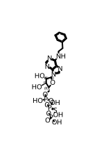 O=P(O)(O)OP(O)(=S)OP(=O)(O)OC[C@H]1O[C@@H](n2cnc3c(NCCc4ccccc4)ncnc32)[C@H](O)[C@@H]1O